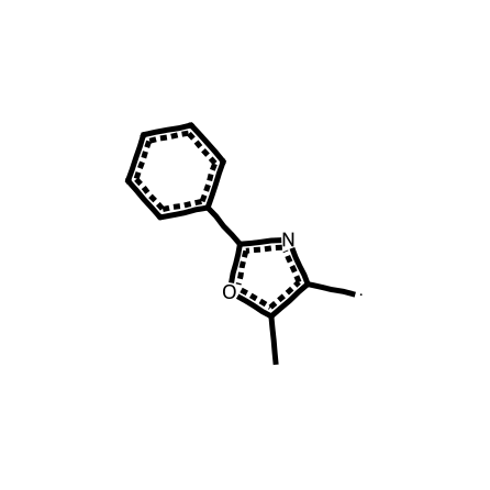 [CH2]c1nc(-c2ccccc2)oc1C